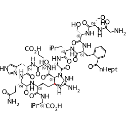 CCCCCCCC(=O)c1ccccc1C[C@H](NC(=O)[C@H](CO)NC(=O)[C@H](CO)NC(=O)CN)C(=O)N[C@@H](CC(C)C)C(=O)N[C@@H](CO)C(=O)N1CCC[C@H]1C(=O)N[C@@H](CCC(=O)O)C(=O)N[C@@H](Cc1c[nH]cn1)C(=O)N[C@@H](CCC(N)=O)C(=O)N[C@@H](CCCNC(=N)N)C(=O)N[C@H](C(=O)O)C(C)C